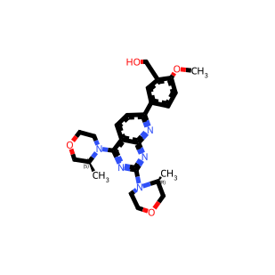 COc1ccc(-c2ccc3c(N4CCOC[C@@H]4C)nc(N4CCOC[C@H]4C)nc3n2)cc1CO